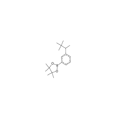 CC(c1cccc(B2OC(C)(C)C(C)(C)O2)c1)C(C)(C)C